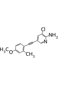 COc1ccc(C#Cc2cnc(N)c(Cl)c2)c(C)c1